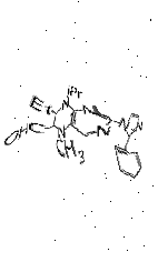 CCC1C(C=O)N(C)c2cnc(-n3ccnc3-c3ccccc3)nc2N1C(C)C